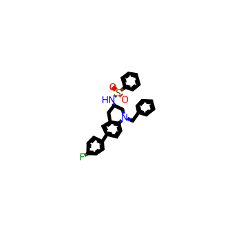 O=S(=O)(NC1Cc2cc(-c3ccc(F)cc3)ccc2N(Cc2ccccc2)C1)c1ccccc1